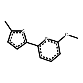 COc1cccc(-c2ccc(C)s2)n1